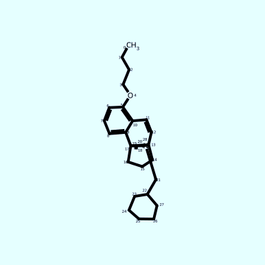 CCCCOc1cccc2c1C=CC13CCCC21C=CN(CC1CCCCC1)C3